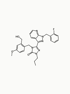 CCCn1nc(-c2nn(Cc3ccccc3F)c3ncccc23)n(Cc2ccc(OC)cc2CO)c1=O